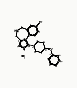 Cl.Clc1ccc2c(c1)CNCc1nnc([C@H]3CC[C@H](Oc4cccnn4)CC3)n1-2